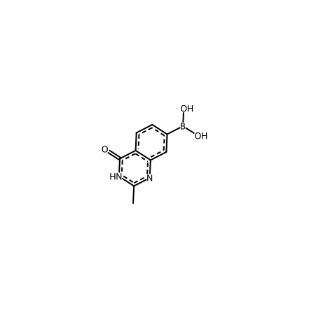 Cc1nc2cc(B(O)O)ccc2c(=O)[nH]1